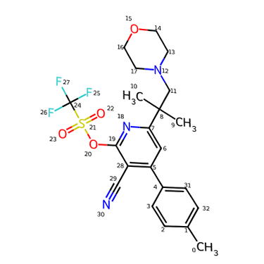 Cc1ccc(-c2cc(C(C)(C)CN3CCOCC3)nc(OS(=O)(=O)C(F)(F)F)c2C#N)cc1